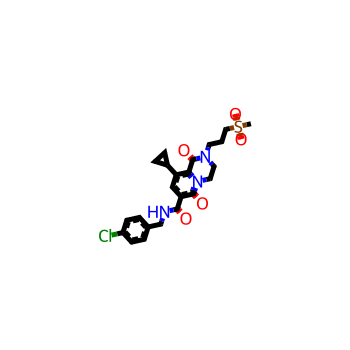 CS(=O)(=O)CCCN1CCn2c(c(C3CC3)cc(C(=O)NCc3ccc(Cl)cc3)c2=O)C1=O